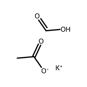 CC(=O)[O-].O=CO.[K+]